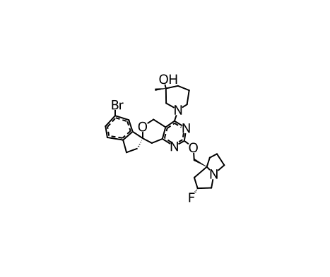 C[C@@]1(O)CCCN(c2nc(OC[C@@]34CCCN3C[C@H](F)C4)nc3c2CO[C@@]2(CCc4ccc(Br)cc42)C3)C1